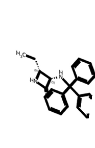 CC[C@H]1NC(=O)[C@H]1NC(c1ccccc1)(c1ccccc1)c1ccccc1